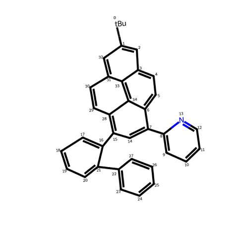 CC(C)(C)c1cc2ccc3c(-c4ccccn4)cc(-c4ccccc4-c4ccccc4)c4ccc(c1)c2c34